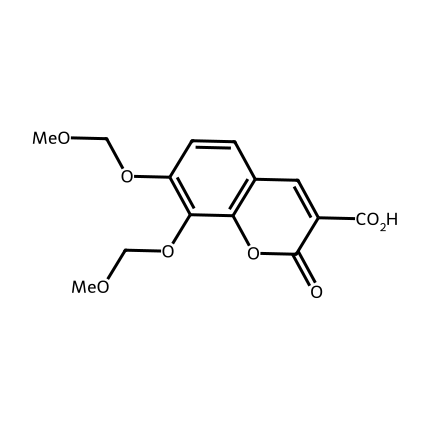 COCOc1ccc2cc(C(=O)O)c(=O)oc2c1OCOC